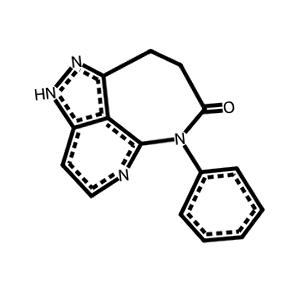 O=C1CCc2n[nH]c3ccnc(c23)N1c1ccccc1